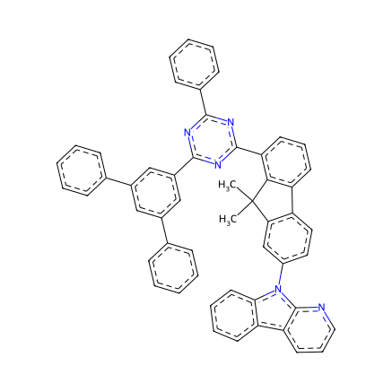 CC1(C)c2cc(-n3c4ccccc4c4cccnc43)ccc2-c2cccc(-c3nc(-c4ccccc4)nc(-c4cc(-c5ccccc5)cc(-c5ccccc5)c4)n3)c21